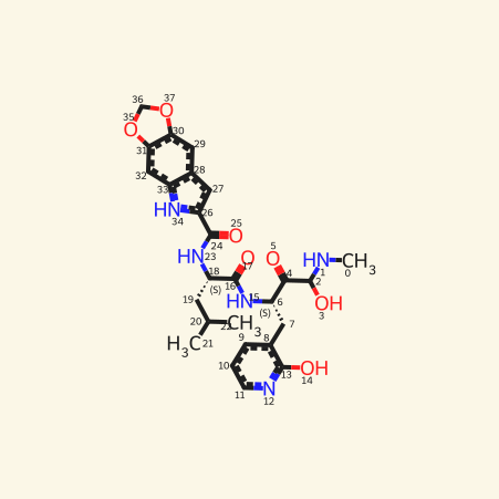 CNC(O)C(=O)[C@H](Cc1cccnc1O)NC(=O)[C@H](CC(C)C)NC(=O)c1cc2cc3c(cc2[nH]1)OCO3